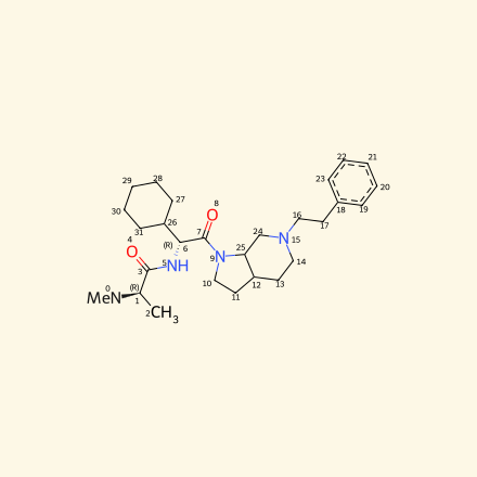 CN[C@H](C)C(=O)N[C@@H](C(=O)N1CCC2CCN(CCc3ccccc3)CC21)C1CCCCC1